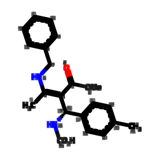 COC(=O)C(=C(C)NCc1ccccc1)[C@@H](NC(=O)O)c1ccc(C)cc1